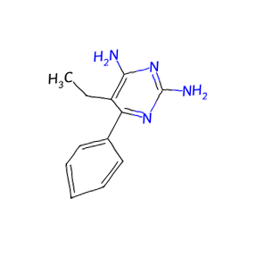 CCc1c(N)nc(N)nc1-c1ccccc1